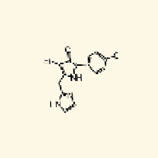 CCc1c(Cc2ncc[nH]2)[nH]n(-c2ccc(Cl)cc2)c1=O